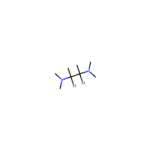 CCC(C)(N(C)C)C(C)(CC)N(C)C